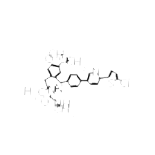 CNC(=O)N1N=C(c2ccc(-c3ccc(-c4ccc(Cl)s4)nc3)cc2)c2cc(OC)c(OC)cc2CC1C